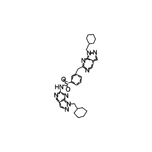 O=S(=O)(Nc1ncc2cnn(CC3CCCCC3)c2n1)c1cccc(Cc2ncc3cnn(CC4CCCCC4)c3n2)c1